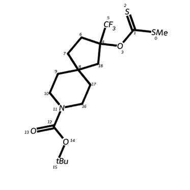 CSC(=S)OC1(C(F)(F)F)CCC2(CCN(C(=O)OC(C)(C)C)CC2)C1